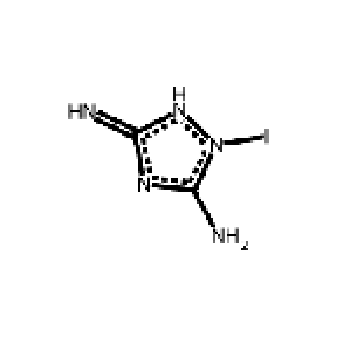 N=c1nc(N)n(I)[nH]1